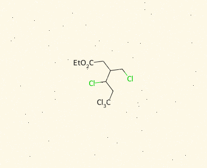 CCOC(=O)CC(CCl)C(Cl)CC(Cl)(Cl)Cl